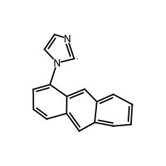 [c]1nccn1-c1cccc2cc3ccccc3cc12